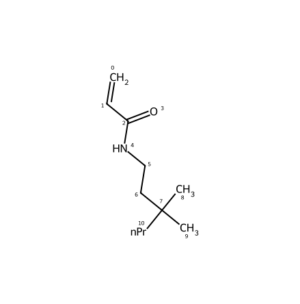 C=CC(=O)NCCC(C)(C)CCC